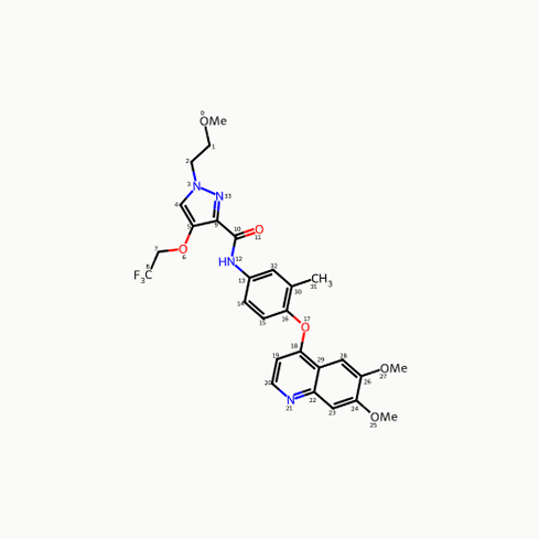 COCCn1cc(OCC(F)(F)F)c(C(=O)Nc2ccc(Oc3ccnc4cc(OC)c(OC)cc34)c(C)c2)n1